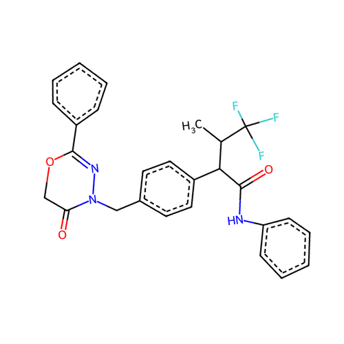 CC(C(C(=O)Nc1ccccc1)c1ccc(CN2N=C(c3ccccc3)OCC2=O)cc1)C(F)(F)F